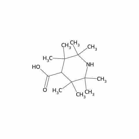 CC1(C)NC(C)(C)C(C)(C)C(C(=O)O)C1(C)C